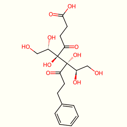 O=C(O)CCC(=O)[C@@](O)([C@@H](O)CO)[C@](O)(C(=O)CCc1ccccc1)[C@H](O)CO